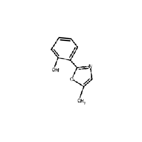 Cc1cnc(-c2ccccc2O)o1